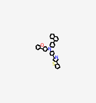 c1ccc2c(-c3ccc(N(c4ccc(-c5cc6sc7ccccc7c6cn5)cc4)c4ccc5c(c4)oc4ccccc45)cc3)cccc2c1